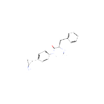 CN(C(=O)C(Cc1ccccc1)NC(=O)O)c1ccc(C2CC2N)cc1